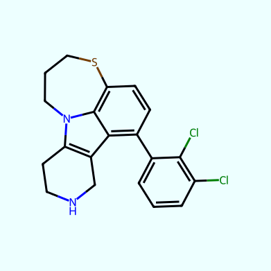 Clc1cccc(-c2ccc3c4c2c2c(n4CCCS3)CCNC2)c1Cl